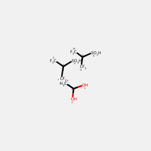 CC(O)O.O=S(=O)(O)C(C(F)(F)F)C(F)(F)F.O=S(=O)(O)C(C(F)(F)F)C(F)(F)F